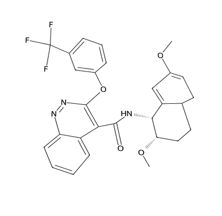 COC1=CCC2CC[C@H](OC)[C@H](NC(=O)c3c(Oc4cccc(C(F)(F)F)c4)nnc4ccccc34)C2=C1